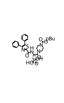 CCCCOC(=O)N1CCN(C(=O)[C@H](CP(=O)(O)O)NC(=O)c2nc(-c3ccccc3)c(-c3ccccc3)s2)CC1